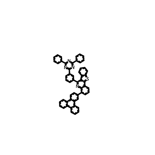 c1ccc(-c2nc(-c3ccccc3)nc(-c3cccc(-c4nc5c(-c6ccc7c8ccccc8c8ccccc8c7c6)cccc5c5sc6ccccc6c45)c3)n2)cc1